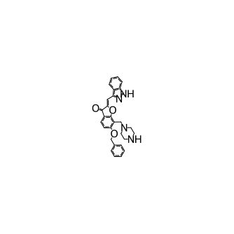 O=C1C(=Cc2n[nH]c3ccccc23)Oc2c1ccc(OCc1ccccc1)c2CN1CCNCC1